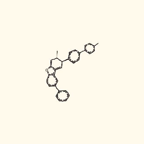 Cc1ccc(-c2ccc(C3C=c4c(oc5ccc(-c6ccccc6)cc45)=C[C@@H]3I)cc2)cc1